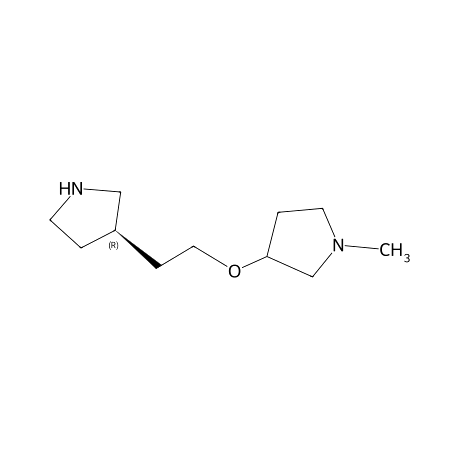 CN1CCC(OCC[C@H]2CCNC2)C1